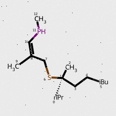 CCC[C@](C)(CCC(C)CC)SC/C(C)=C\PC